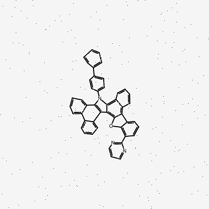 c1ccc(-c2ccc(-n3c4c5ccccc5c5ccccc5c4c4c5oc6c(-c7ncccn7)cccc6c5c5ccccc5c43)cc2)cc1